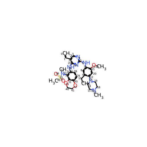 C=Cc1cnc(Nc2cc(CC)c(N3CCN(C)CC3)cc2OC)nc1Nc1ccc2c(c1N(C)S(C)(=O)=O)OCCO2